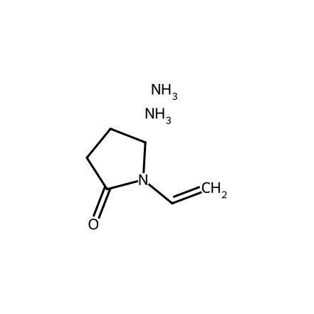 C=CN1CCCC1=O.N.N